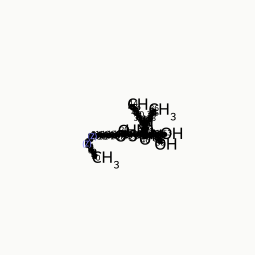 CCCCC/C=C\C/C=C\CCCCCCCCOC(=O)CCSCCC(NC(=O)C(CCCCCC)CCCCCCCC)C(=O)NCCN(CCO)CCO